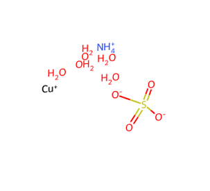 O.O.O.O.O.O=S(=O)([O-])[O-].[Cu+].[NH4+]